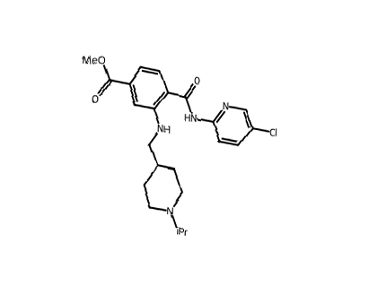 COC(=O)c1ccc(C(=O)Nc2ccc(Cl)cn2)c(NCC2CCN(C(C)C)CC2)c1